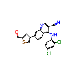 N#Cc1cnc2cc(-c3csc(C=O)c3)ccc2c1Nc1ccc(Cl)cc1Cl